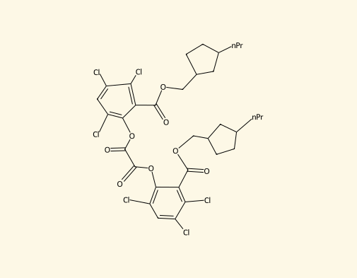 CCCC1CCC(COC(=O)c2c(Cl)c(Cl)cc(Cl)c2OC(=O)C(=O)Oc2c(Cl)cc(Cl)c(Cl)c2C(=O)OCC2CCC(CCC)C2)C1